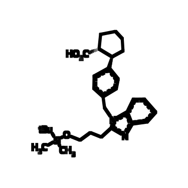 CC(C)(C)[Si](C)(C)OCCCc1nc2ccccc2n1Cc1ccc([C@@H]2CCCC[C@H]2C(=O)O)cc1